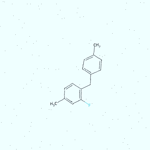 Cc1ccc(Cc2ccc(C)cc2F)cc1